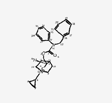 O=C(O[C@H]1C[N+]2(C3CC3)CCC1CC2)N(Cc1ccccc1)c1ccccc1